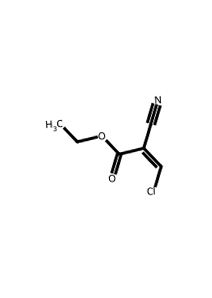 CCOC(=O)/C(C#N)=C\Cl